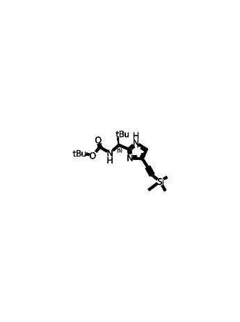 CC(C)(C)OC(=O)N[C@H](c1nc(C#C[Si](C)(C)C)c[nH]1)C(C)(C)C